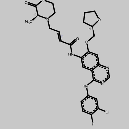 C[C@H]1C(=O)OCCN1C/C=C/C(=O)Nc1cc2c(Nc3ccc(F)c(Cl)c3)ncnc2cc1OC[C@H]1CCCO1